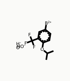 [B+2]c1ccc(OC(C)C)c(C(F)(F)F)c1.[OH-].[OH-]